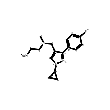 CNCCN(C)Cc1cn(C2CC2)nc1-c1ccc(F)cc1